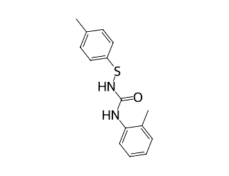 Cc1ccc(SNC(=O)Nc2ccccc2C)cc1